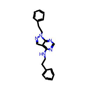 c1ccc(CCNc2ncnc3c2cnn3CCc2ccccc2)cc1